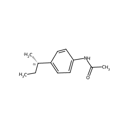 [CH2][C@@H](CC)c1ccc(NC(C)=O)cc1